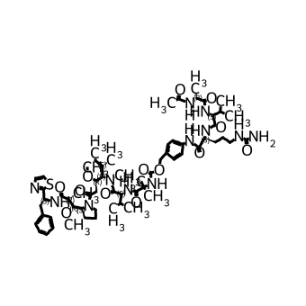 CC[C@H](C)[C@@H]([C@@H](CC(=O)N1CCC[C@H]1[C@H](OC)[C@@H](C)C(=O)N[C@@H](Cc1ccccc1)c1nccs1)OC)N(C)C(=O)[C@@H](NC(=O)C(C)(C)NC(=O)OCc1ccc(NC(=O)[C@H](CCCNC(N)=O)NC(=O)[C@@H](NC(=O)[C@@H](C)NC(C)=O)C(C)C)cc1)C(C)C